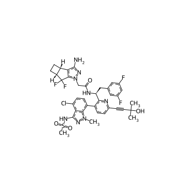 Cn1nc(NS(C)(=O)=O)c2c(Cl)ccc(-c3ccc(C#CC(C)(C)O)nc3[C@H](Cc3cc(F)cc(F)c3)NC(=O)Cn3nc(N)c4c3C(F)(F)[C@@H]3CC[C@H]43)c21